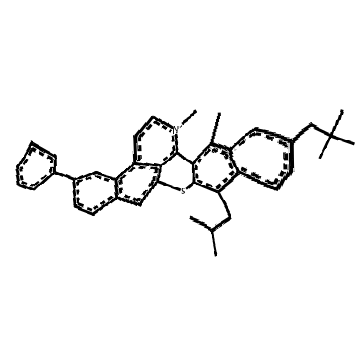 Cc1c2c(c(CC(C)C)c3ccc(CC(C)(C)C)cc13)Sc1cc3ccc(-c4ccccc4)cc3c3cc[n+](C)c-2c13